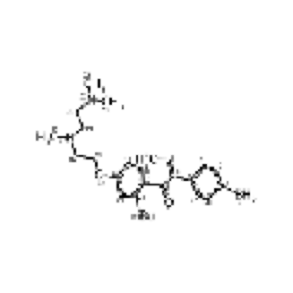 Bc1ccc(/C(=C/C)C(=O)c2ccc(OCCN(C)CCN(C)C)cc2C(C)CC)cc1